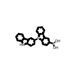 OB(O)c1ccc2c(c1)c1ccccc1n2-c1ccc2[nH]c3ccccc3c2c1